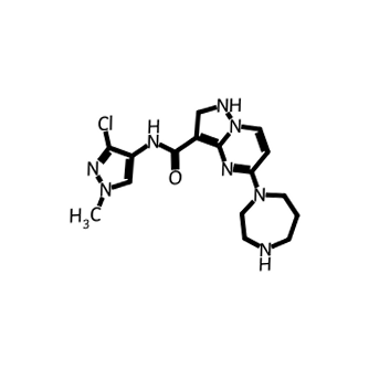 Cn1cc(NC(=O)C2=C3N=C(N4CCCNCC4)C=CN3NC2)c(Cl)n1